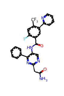 NC(=O)Cc1ncc(NC(=O)c2cc(-c3ccccn3)c(C(F)(F)F)cc2F)c(-c2ccccc2)n1